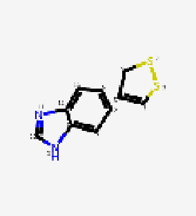 C1=CSSC1.c1ccc2[nH]cnc2c1